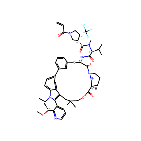 C=CC(=O)N1C[C@@H](C(=O)N(C)[C@H](C(=O)N[C@H]2Cc3cccc(c3)-c3ccc4c(c3)c(c(-c3cccnc3[C@H](C)OC)n4CC)CC(C)(C)COC(=O)[C@@H]3CCCN(N3)C2=O)C(C)C)[C@@H](C(F)(F)F)C1